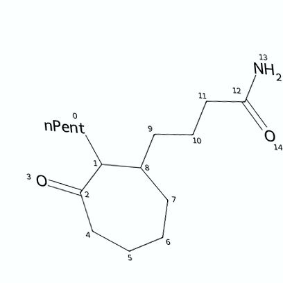 CCCCCC1C(=O)CCCCC1CCCC(N)=O